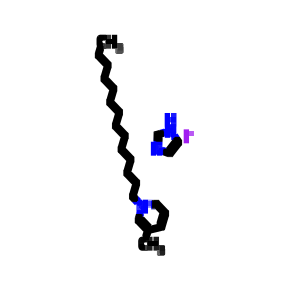 CCCCCCCCCCCCCC[n+]1cccc(C)c1.[I-].c1c[nH]cn1